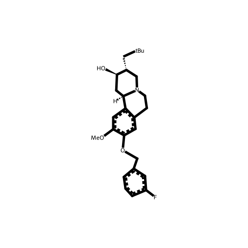 COc1cc2c(cc1OCc1cccc(F)c1)CCN1C[C@@H](CC(C)(C)C)[C@H](O)C[C@H]21